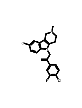 C=C(Cn1c2c(c3cc(Cl)ccc31)CN(C)CC2)c1ccc(Cl)c(F)c1